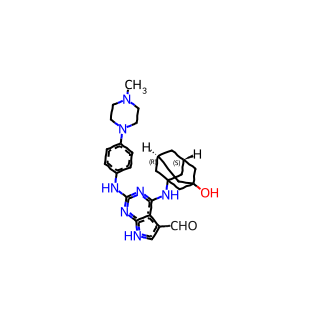 CN1CCN(c2ccc(Nc3nc(NC45C[C@@H]6C[C@@H](CC(O)(C6)C4)C5)c4c(C=O)c[nH]c4n3)cc2)CC1